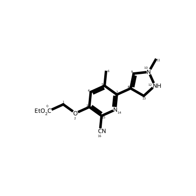 CCOC(=O)COc1cc(C)c(C2=CN(C)NC2)nc1C#N